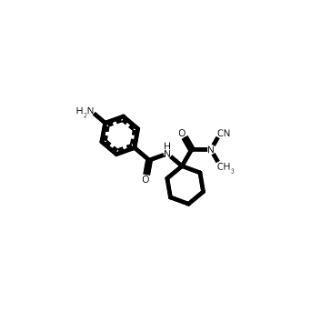 CN(C#N)C(=O)C1(NC(=O)c2ccc(N)cc2)CCCCC1